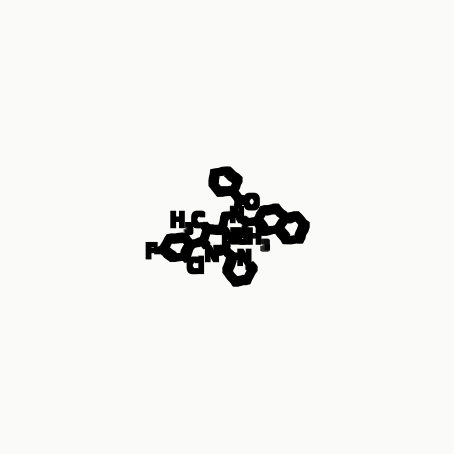 CC1=C(CN(C(=O)c2ccccc2)[C@@H](C)c2ccc3ccccc3c2)NC(c2ccccn2)=NC1c1ccc(F)cc1Cl